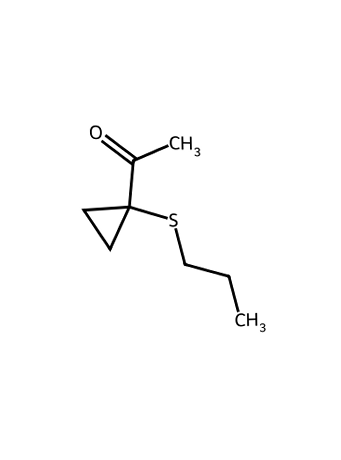 CCCSC1(C(C)=O)CC1